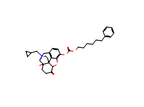 O=C(OCCCCCCc1ccccc1)Oc1ccc2c3c1OC1C(=O)CCC4(O)C(C2)N(CC2CC2)CCC314